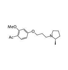 COc1cc(OCCCN2CCC[C@H]2C)ccc1C(C)=O